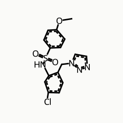 COc1ccc(S(=O)(=O)Nc2cc(Cl)ccc2Cn2ccnn2)cc1